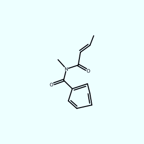 CC=CC(=O)N(C)C(=O)c1ccccc1